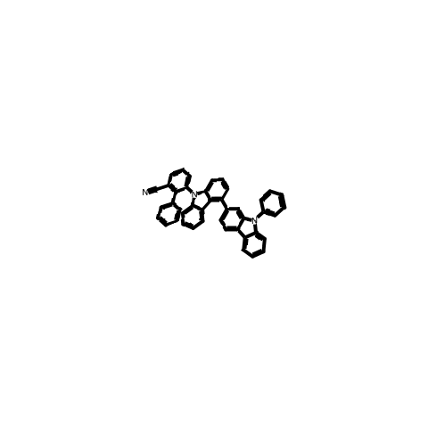 N#Cc1cccc(-n2c3ccccc3c3c(-c4ccc5c6ccccc6n(-c6ccccc6)c5c4)cccc32)c1-c1ccccc1